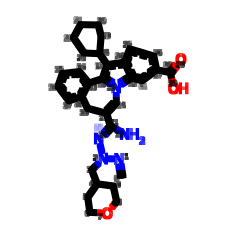 C=NN(CC1CCOCC1)/N=C(\N)C1=Cn2c(c(C3CCCCC3)c3ccc(C(=O)O)cc32)-c2ccccc2C1